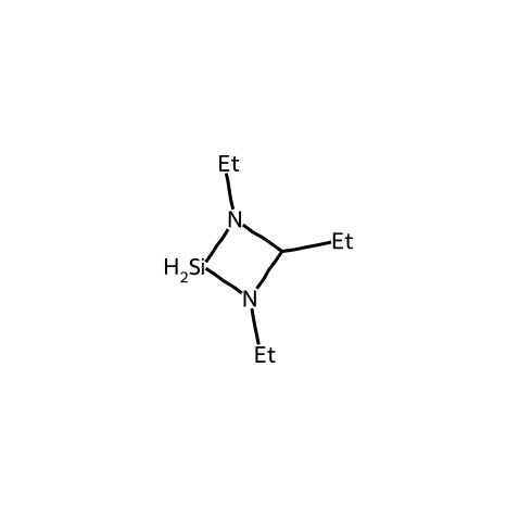 CCC1N(CC)[SiH2]N1CC